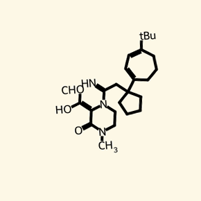 CN1CCN(C(=N)CC2(C3=CC=C(C(C)(C)C)CCC3)CCCC2)/C(=C(/O)C=O)C1=O